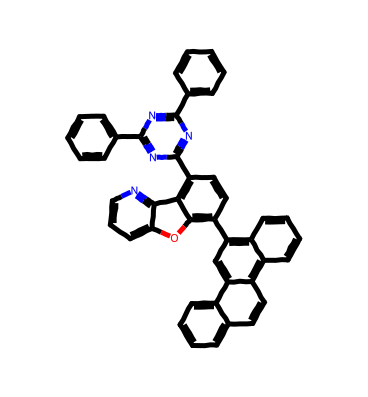 c1ccc(-c2nc(-c3ccccc3)nc(-c3ccc(-c4cc5c6ccccc6ccc5c5ccccc45)c4oc5cccnc5c34)n2)cc1